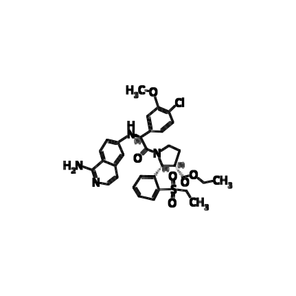 CCOC(=O)[C@H]1CCN(C(=O)[C@@H](Nc2ccc3c(N)nccc3c2)c2ccc(Cl)c(OC)c2)[C@H]1c1ccccc1S(=O)(=O)CC